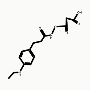 CCNc1ccc(CCC(=O)NOC(=O)CC(=O)O)cc1